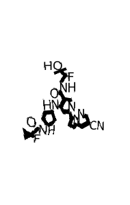 CC(C)(O)[C@H](F)CNC(=O)c1cnc(-c2ccc3cc(C#N)cnn23)cc1NC1CCC(NC(=O)C2(F)CC2)CC1